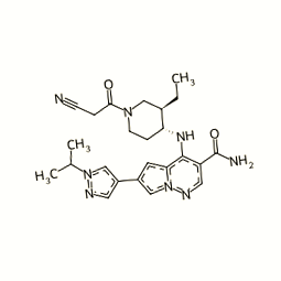 CC[C@@H]1CN(C(=O)CC#N)CC[C@H]1Nc1c(C(N)=O)cnn2cc(-c3cnn(C(C)C)c3)cc12